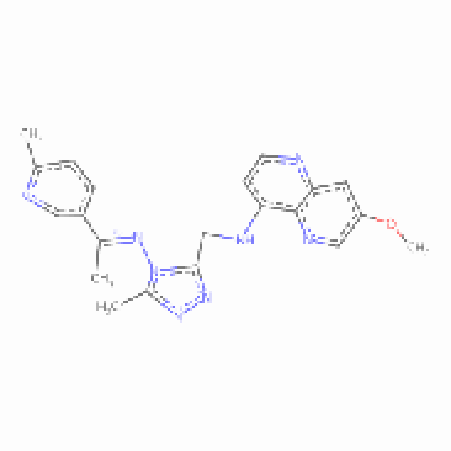 COc1cnc2c(NCc3nnc(C)n3/N=C(\C)c3ccc(C)nc3)ccnc2c1